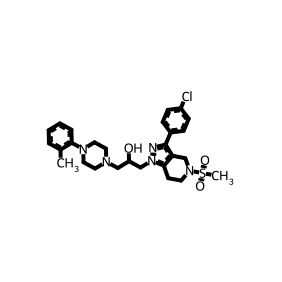 Cc1ccccc1N1CCN(CC(O)Cn2nc(-c3ccc(Cl)cc3)c3c2CCN(S(C)(=O)=O)C3)CC1